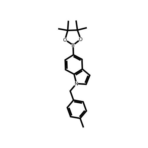 Cc1ccc(Cn2ccc3cc(B4OC(C)(C)C(C)(C)O4)ccc32)cc1